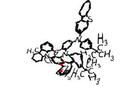 Cc1cc2c3c(c1)N1c4c(cccc4C4(C)CCCCC14C)B3c1ccc(N(c3ccc(C(C)(C)C)cc3)c3ccc4c(c3)sc3ccccc34)cc1N2c1ccc(C(C)(C)C)cc1-c1ccccc1